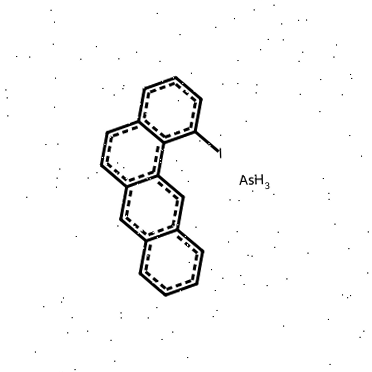 Ic1cccc2ccc3cc4ccccc4cc3c12.[AsH3]